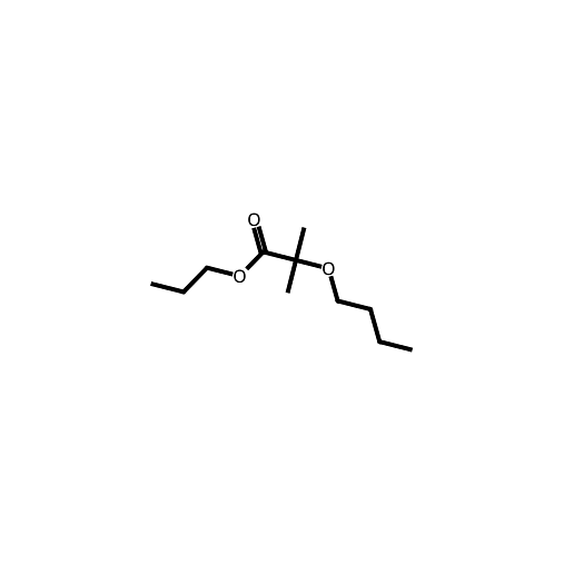 CCCCOC(C)(C)C(=O)OCCC